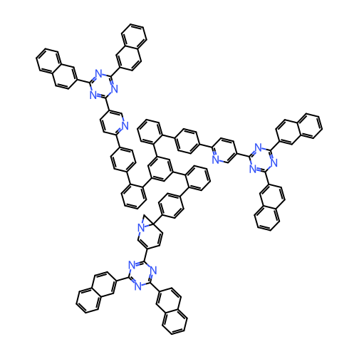 C1=CC2(c3ccc(-c4ccccc4-c4cc(-c5ccccc5-c5ccc(-c6ccc(-c7nc(-c8ccc9ccccc9c8)nc(-c8ccc9ccccc9c8)n7)cn6)cc5)cc(-c5ccccc5-c5ccc(-c6ccc(-c7nc(-c8ccc9ccccc9c8)nc(-c8ccc9ccccc9c8)n7)cn6)cc5)c4)cc3)CN2C=C1c1nc(-c2ccc3ccccc3c2)nc(-c2ccc3ccccc3c2)n1